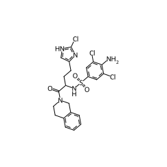 Nc1c(Cl)cc(S(=O)(=O)NC(CCc2c[nH]c(Cl)n2)C(=O)N2CCc3ccccc3C2)cc1Cl